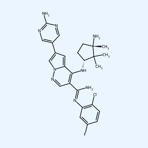 CC1(C)[C@H](Nc2c(/C(N)=N/c3cc(F)ccc3Cl)cnn3cc(-c4cnc(N)nc4)cc23)CC[C@]1(C)N